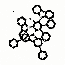 N#Cc1c(-n2c3ccccc3c3ccccc32)c(-c2ccccc2)c(-c2ccccc2)c(-n2c3ccc(-c4ccccc4)cc3c3cc(-c4ccccc4)ccc32)c1-n1c2ccccc2c2ccccc21